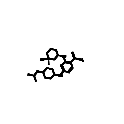 C[C@]1(O)CCC[C@@H](Nc2nc(NC3CCC(OC(F)F)CC3)ncc2C(N)=O)C1